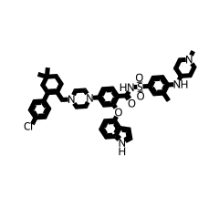 Cc1cc(S(=O)(=O)NC(=O)c2ccc(N3CCN(CC4=C(c5ccc(Cl)cc5)CC(C)(C)CC4)CC3)cc2Oc2cccc3[nH]ccc23)ccc1NC1CCN(C)CC1